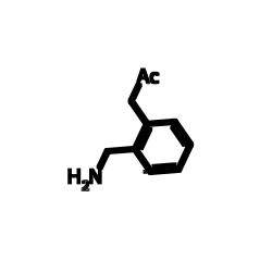 CC(=O)Cc1ccc[c]c1CN